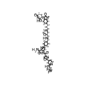 Cn1c(=O)n(C2CCC(=O)NC2=O)c2ccc(CCCN3CCO[C@H](CNCc4ccc(-n5cc(NC(=O)c6coc(-c7ccnc(NCC(F)(F)F)c7)n6)c(C(N)=O)n5)cc4)C3)cc21